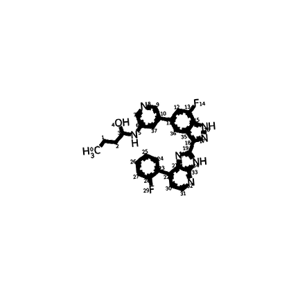 CCCC(O)Nc1cncc(-c2cc(F)c3[nH]nc(-c4nc5c(-c6ccccc6F)ccnc5[nH]4)c3c2)c1